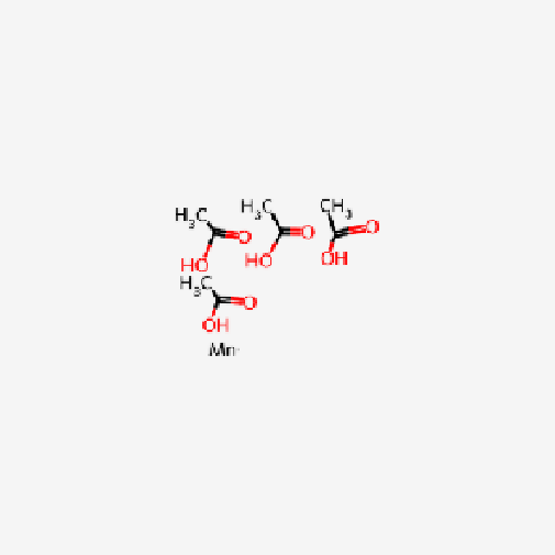 CC(=O)O.CC(=O)O.CC(=O)O.CC(=O)O.[Mn]